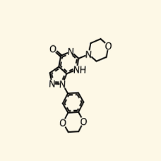 O=c1nc(N2CCOCC2)[nH]c2c1cnn2-c1ccc2c(c1)OCCO2